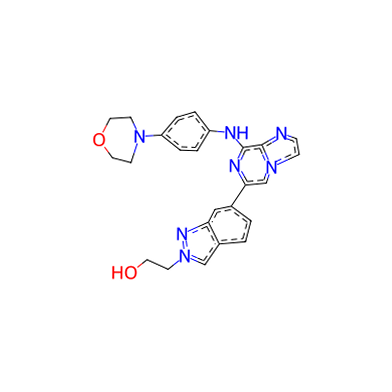 OCCn1cc2ccc(-c3cn4ccnc4c(Nc4ccc(N5CCOCC5)cc4)n3)cc2n1